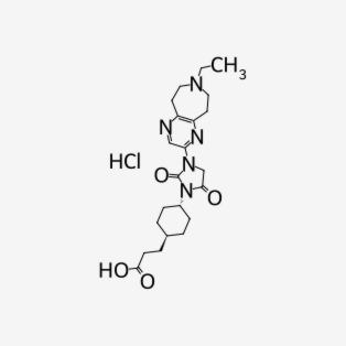 CCN1CCc2ncc(N3CC(=O)N([C@H]4CC[C@H](CCC(=O)O)CC4)C3=O)nc2CC1.Cl